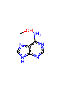 CO.Nc1ncnc2[nH]cnc12